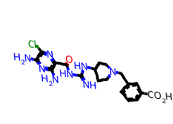 N=C(NC(=O)c1nc(Cl)c(N)nc1N)NC1CCN(Cc2cccc(C(=O)O)c2)CC1